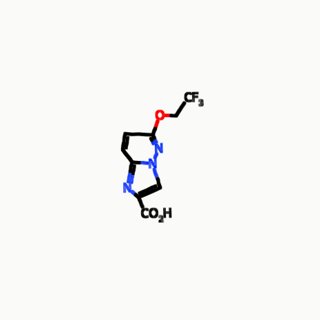 O=C(O)c1cn2nc(OCC(F)(F)F)ccc2n1